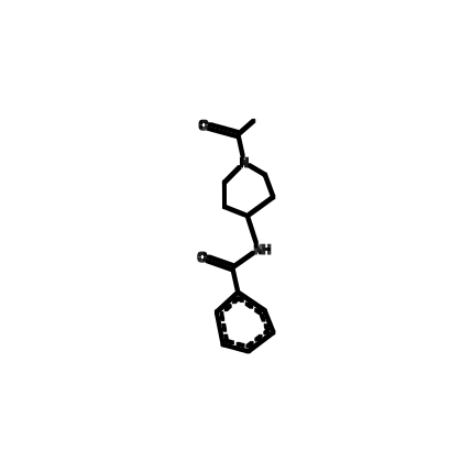 CC(=O)N1CCC(NC(=O)c2ccccc2)CC1